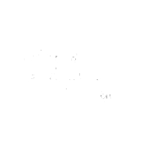 OCc1cc2sccc2o1